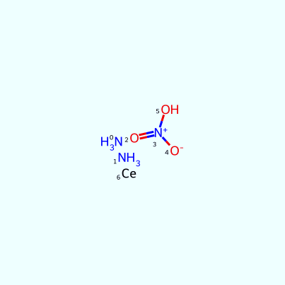 N.N.O=[N+]([O-])O.[Ce]